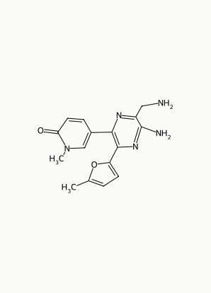 Cc1ccc(-c2nc(N)c(CN)nc2-c2ccc(=O)n(C)c2)o1